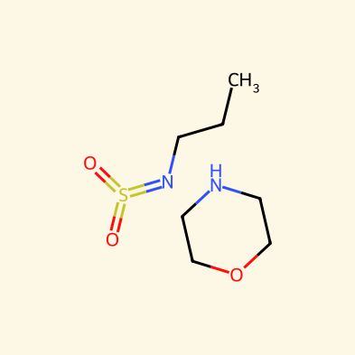 C1COCCN1.CCCN=S(=O)=O